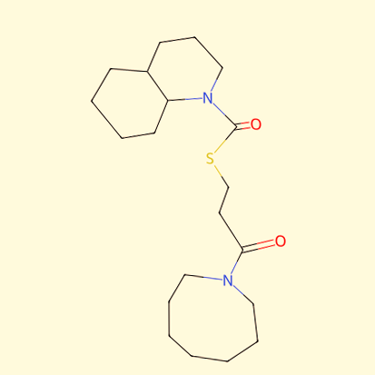 O=C(CCSC(=O)N1CCCC2CCCCC21)N1CCCCCCC1